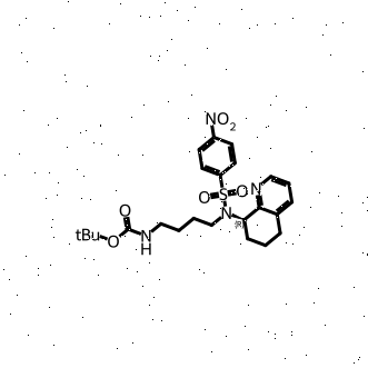 CC(C)(C)OC(=O)NCCCCN([C@@H]1CCCc2cccnc21)S(=O)(=O)c1ccc([N+](=O)[O-])cc1